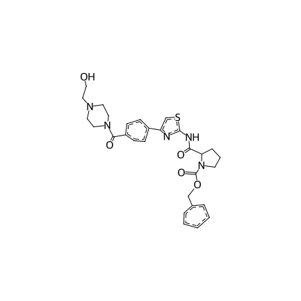 O=C(Nc1nc(-c2ccc(C(=O)N3CCN(CCO)CC3)cc2)cs1)C1CCCN1C(=O)OCc1ccccc1